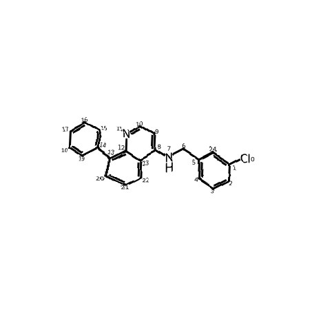 Clc1cccc(CNc2ccnc3c(-c4ccccc4)cccc23)c1